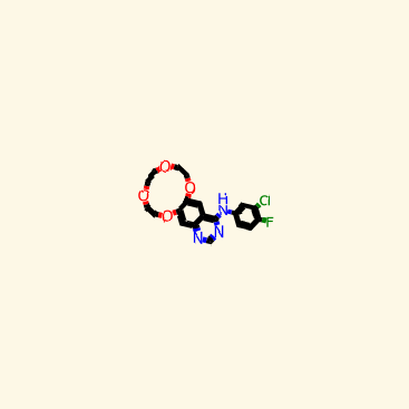 Fc1ccc(Nc2ncnc3cc4c(cc23)OCCOCCOCCO4)cc1Cl